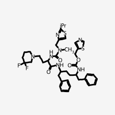 CC(C)c1nc(CN(C)C(=O)NC(CCN2CCCC(F)(F)C2)C(=O)NC(CCC(Cc2ccccc2)NC(=O)OCc2cncs2)Cc2ccccc2)cs1